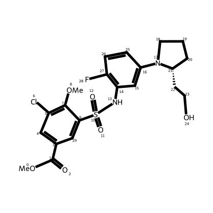 COC(=O)c1cc(Cl)c(OC)c(S(=O)(=O)Nc2cc(N3CCC[C@@H]3CCO)ccc2F)c1